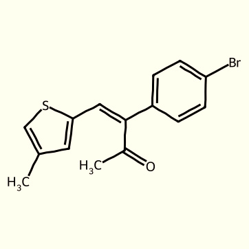 CC(=O)C(=Cc1cc(C)cs1)c1ccc(Br)cc1